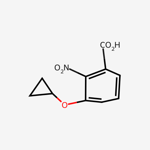 O=C(O)c1cccc(OC2CC2)c1[N+](=O)[O-]